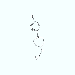 COC1CCN(c2ccc(Br)cn2)CC1